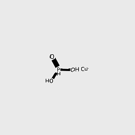 O=[PH](O)O.[Cu]